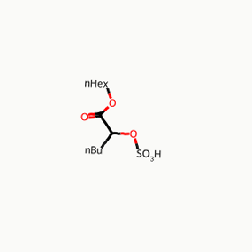 CCCCCCOC(=O)C(CCCC)OS(=O)(=O)O